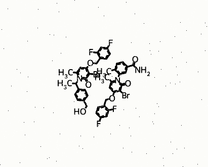 Cc1cc(OCc2ccc(F)cc2F)c(Br)c(=O)n1C(C)c1ccc(CO)cc1.Cc1ccc(C(N)=O)cc1-n1c(C)cc(OCc2ccc(F)cc2F)c(Br)c1=O